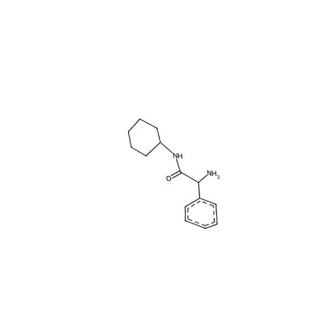 NC(C(=O)NC1CCCCC1)c1ccccc1